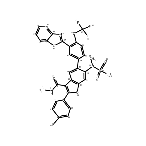 CNC(=O)c1c(-c2ccc(F)cc2)oc2cc(N(C)S(C)(=O)=O)c(-c3ccc(OC(F)(F)F)c(-c4nc5ncccc5o4)c3)cc12